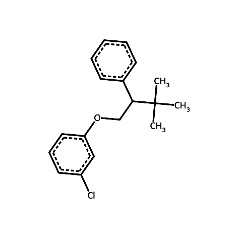 CC(C)(C)C(COc1cccc(Cl)c1)c1ccccc1